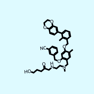 Cc1cc(CN(C)CCNCC(=O)CCCO)c(OCc2cccc(C#N)c2)cc1OCc1cccc(-c2ccc3c(c2)OCCO3)c1C